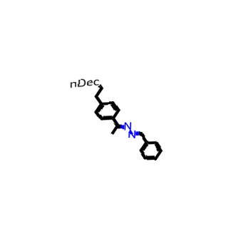 CCCCCCCCCCCCc1ccc(C(C)=NN=Cc2ccccc2)cc1